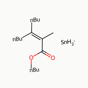 CCCCOC(=O)C(C)=C(CCCC)CCCC.[SnH2]